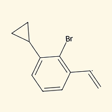 C=[C]c1cccc(C2CC2)c1Br